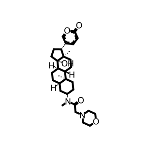 CN(C(=O)CN1CCOCC1)[C@H]1CC[C@@]2(C)[C@H](CC[C@@H]3[C@@H]2CC[C@]2(C)[C@@H](c4ccc(=O)oc4)CC[C@]32O)C1